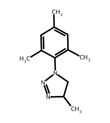 Cc1cc(C)c(N2CC(C)N=N2)c(C)c1